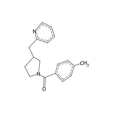 Cc1ccc(C(=O)N2CCC(Cc3ccccn3)C2)cc1